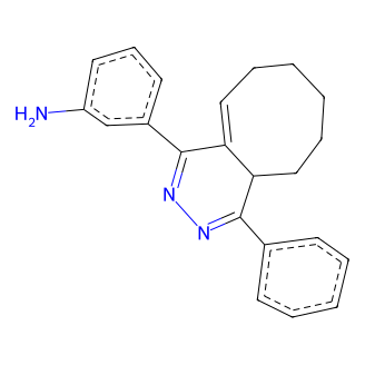 Nc1cccc(C2=NN=C(c3ccccc3)C3CCCCC/C=C/23)c1